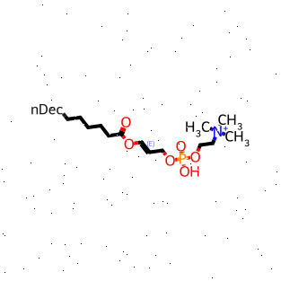 CCCCCCCCCCCCCCCC(=O)O/C=C/COP(=O)(O)OCC[N+](C)(C)C